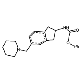 CC(C)(C)OC(=O)NC1Cc2ccc(CN3CCCCC3)cc2C1